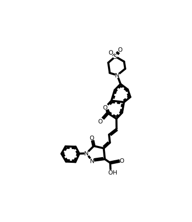 O=C(O)C1=NN(c2ccccc2)C(=O)/C1=C\C=C\c1cc2ccc(N3CCS(=O)(=O)CC3)cc2oc1=O